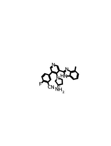 Cc1cccc2[nH]c(-c3cncc(-c4ccc(F)c(C#N)c4)c3N3CC[C@H](N)C3)nc12